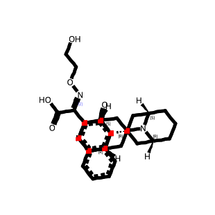 O=C(O)/C(=N\OCCO)c1nc2ccccc2n([C@H]2C[C@H]3CCC[C@@H](C2)N3C2C[C@H]3CCC[C@@H](C2)C3)c1=O